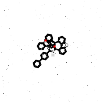 c1ccc(C2=NC(c3ccc(-c4ccccc4)cc3)NC(c3cccc4oc5cccc(-c6ccc7c(c6)oc6ccccc67)c5c34)=N2)cc1